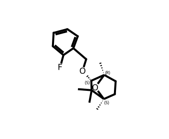 CC1(C)[C@H](OCc2ccccc2F)[C@@]2(C)CC[C@]1(C)O2